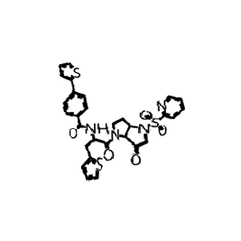 O=C(NC(Cc1cccs1)C(=O)N1CCC2C1C(=O)CN2S(=O)(=O)c1ccccn1)c1ccc(-c2cccs2)cc1